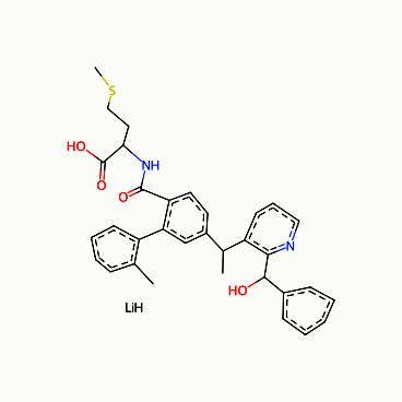 CSCCC(NC(=O)c1ccc(C(C)c2cccnc2C(O)c2ccccc2)cc1-c1ccccc1C)C(=O)O.[LiH]